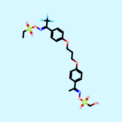 CCS(=O)(=O)ON=C(c1ccc(OCCCOc2ccc(C(C)=NOS(=O)(=O)CO)cc2)cc1)C(F)(F)F